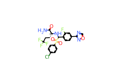 NC(=O)[C@@H](CCC(F)(F)F)NC(c1ccc(-c2ncon2)cc1F)S(=O)(=O)c1ccc(Cl)cc1